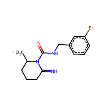 N=C1CCCC(C(=O)O)N1C(=O)NCc1cccc(Br)c1